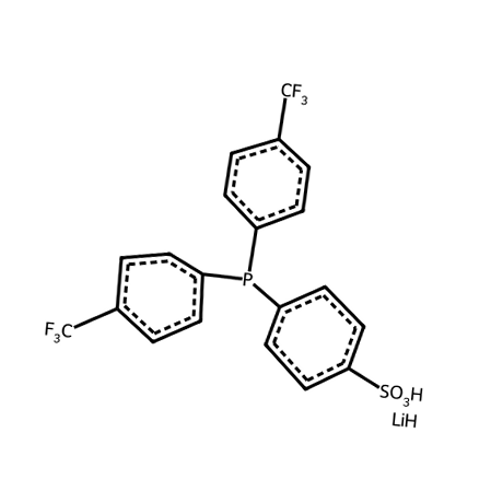 O=S(=O)(O)c1ccc(P(c2ccc(C(F)(F)F)cc2)c2ccc(C(F)(F)F)cc2)cc1.[LiH]